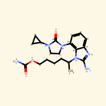 CC(CCCCOC(N)=O)n1c(N)nc2cccc(N3CCN(C4CC4)C3=O)c21